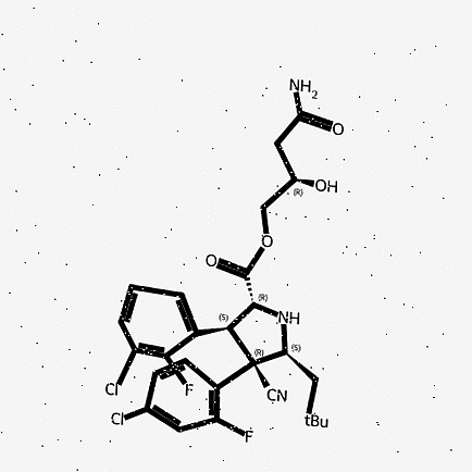 CC(C)(C)C[C@@H]1N[C@@H](C(=O)OC[C@H](O)CC(N)=O)[C@H](c2cccc(Cl)c2F)[C@@]1(C#N)c1ccc(Cl)cc1F